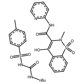 CCCCNC(=O)NS(=O)(=O)c1ccc(C)cc1.CN1C(C(=O)Nc2ccccn2)=C(O)c2ccccc2S1(=O)=O